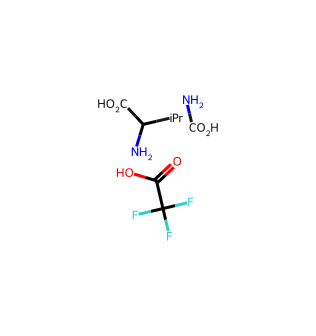 CC(C)C(N)C(=O)O.NC(=O)O.O=C(O)C(F)(F)F